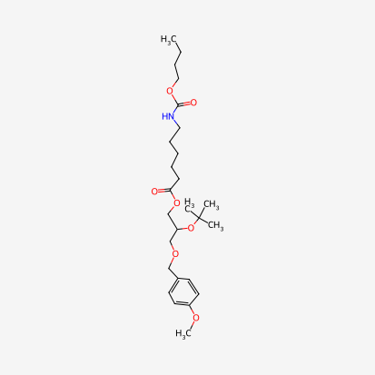 CCCCOC(=O)NCCCCCC(=O)OCC(COCc1ccc(OC)cc1)OC(C)(C)C